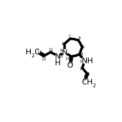 C=CCNC1CCCCN(NCC=C)C1=O